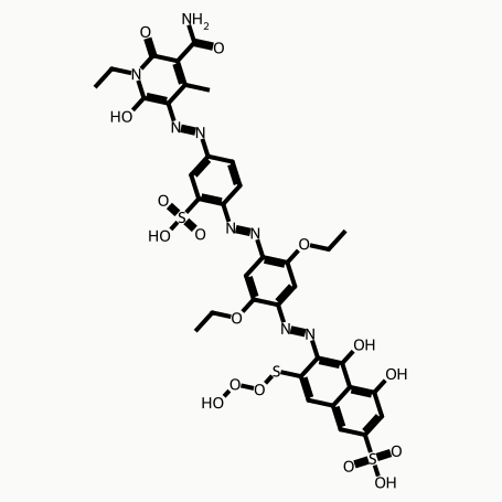 CCOc1cc(/N=N/c2c(SOOO)cc3cc(S(=O)(=O)O)cc(O)c3c2O)c(OCC)cc1/N=N/c1ccc(/N=N/c2c(C)c(C(N)=O)c(=O)n(CC)c2O)cc1S(=O)(=O)O